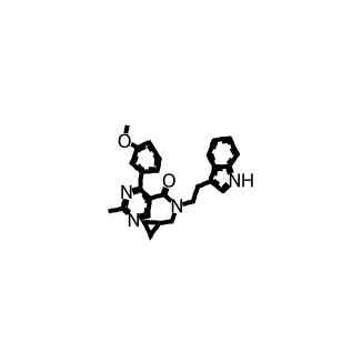 COc1cccc(-c2nc(C)ncc2C(=O)N(CCc2c[nH]c3ccccc23)CC2CC2)c1